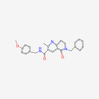 COc1ccc(CNC(=O)c2cc3c(=O)n(Cc4ccccc4)ccc3nc2C)cc1